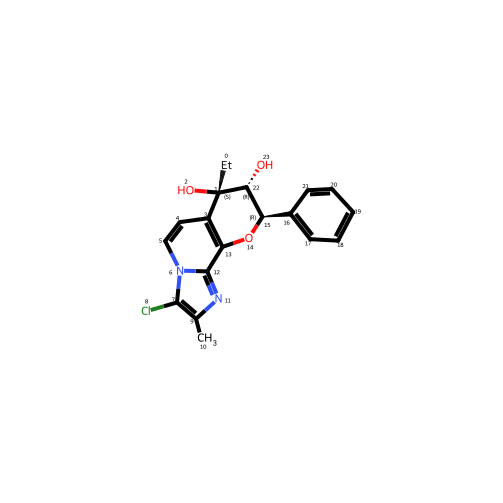 CC[C@]1(O)c2ccn3c(Cl)c(C)nc3c2O[C@H](c2ccccc2)[C@H]1O